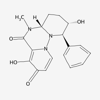 CN1C(=O)c2c(O)c(=O)ccn2N2[C@H](c3ccccc3)[C@@H](O)CC[C@@H]12